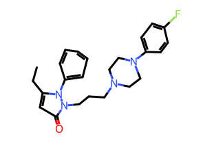 CCc1cc(=O)n(CCCN2CCN(c3ccc(F)cc3)CC2)n1-c1ccccc1